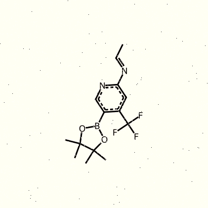 C/C=N/c1cc(C(F)(F)F)c(B2OC(C)(C)C(C)(C)O2)cn1